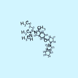 C=CCCC(C(=C)NC)N1Cc2cc(OC3CCCC3N3CC4C5CCC(C5)C4C3)ccc2C1C